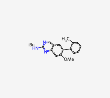 CC[C@@H](C)Nc1ncc2cc(-c3ccccc3C)c(OC)cc2n1